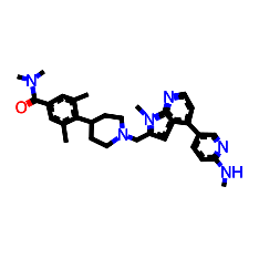 CNc1ccc(-c2ccnc3c2cc(CN2CCC(c4c(C)cc(C(=O)N(C)C)cc4C)CC2)n3C)cn1